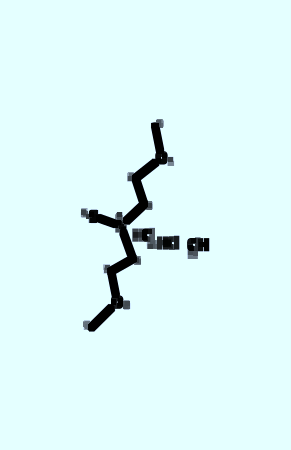 COCCN([S])CCOC.Cl.Cl.Cl